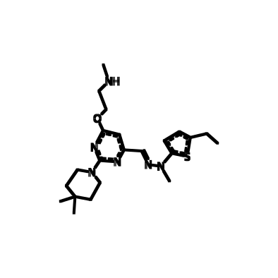 CCc1ccc(N(C)/N=C/c2cc(OCCNC)nc(N3CCC(C)(C)CC3)n2)s1